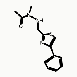 CC(=O)N(C)NCc1nc(-c2ccccc2)cs1